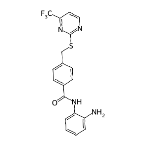 Nc1ccccc1NC(=O)c1ccc(CSc2nccc(C(F)(F)F)n2)cc1